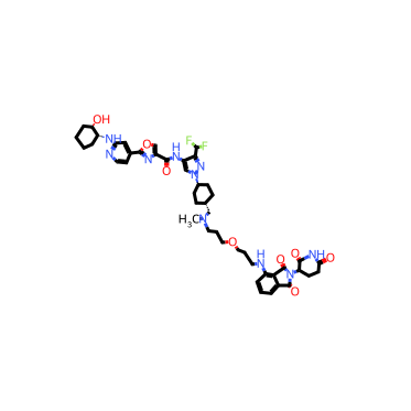 CN(CCCOCCCNc1cccc2c1C(=O)N(C1CCC(=O)NC1=O)C2=O)C[C@H]1CC[C@H](n2cc(NC(=O)c3coc(-c4ccnc(N[C@@H]5CCCC[C@@H]5O)c4)n3)c(C(F)F)n2)CC1